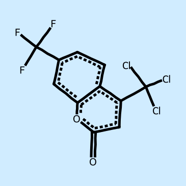 O=c1cc(C(Cl)(Cl)Cl)c2ccc(C(F)(F)F)cc2o1